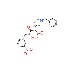 O=C(O)C(C(=O)C=Cc1cccc([N+](=O)[O-])c1)[C@@H]1CCN(Cc2ccccc2)C1